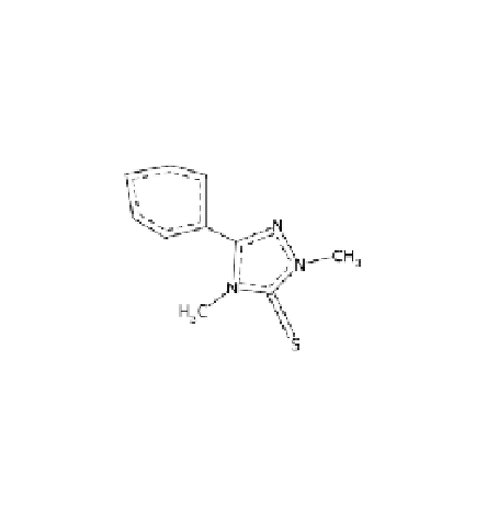 Cn1nc(-c2ccccc2)n(C)c1=S